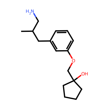 CC(CN)Cc1cccc(OCC2(O)CCCC2)c1